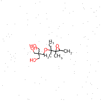 CC1OC1(C)C(C)(C)OCC(CO)(CO)CO